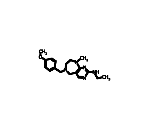 CCNc1ncc2c(n1)N(C)CCN(Cc1ccc(OC)cc1)C2